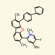 Cc1ccc2c(oc3c(-c4ccc(-c5ccccc5)cc4)c(C#N)ccc32)c1-c1cc(C(C)(C)C)c(F)c[n+]1C